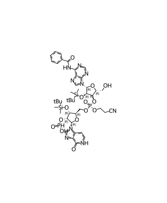 CC(C)(C)[Si](C)(C)O[C@@H]1[C@H](OP(=O)(OCCC#N)OC[C@H]2O[C@@H](n3cnc4c(=O)[nH]ccc43)[C@H](O[PH](=O)O)[C@@H]2O[Si](C)(C)C(C)(C)C)[C@@H](CO)O[C@H]1n1cnc2c(NC(=O)c3ccccc3)ncnc21